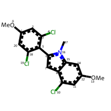 COc1cc(Cl)c(-c2cc3c(Cl)cc(OC)cc3n2C)c(Cl)c1